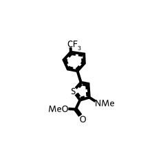 CNc1cc(-c2ccc(C(F)(F)F)cc2)sc1C(=O)OC